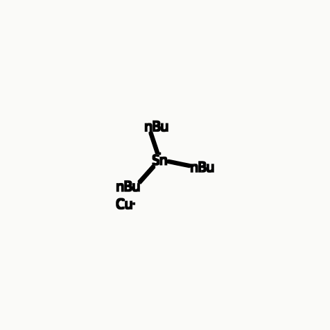 CCC[CH2][Sn]([CH2]CCC)[CH2]CCC.[Cu]